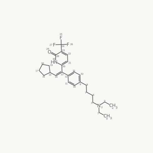 CCN(CC)CCCCc1ccc(/C(=C/C2CCCC2)c2ccc(C(F)(F)F)c(=O)[nH]2)cc1